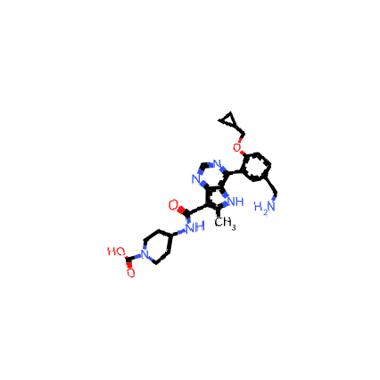 Cc1[nH]c2c(-c3cc(CN)ccc3OCC3CC3)ncnc2c1C(=O)NC1CCN(C(=O)O)CC1